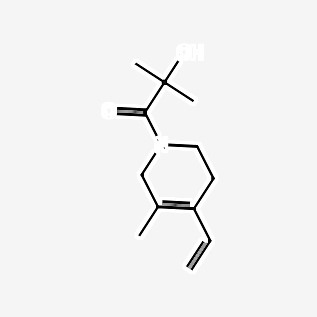 C=CC1=C(C)CN(C(=O)C(C)(C)O)CC1